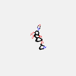 O=c1c2ccc(OCc3cccnc3)cc2oc2cc(N3CCOCC3)cc(O)c12